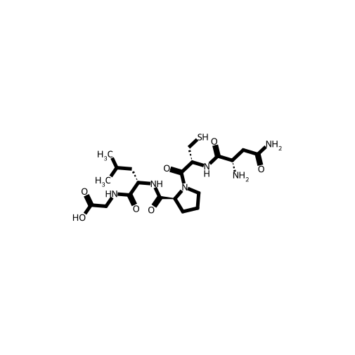 CC(C)C[C@H](NC(=O)[C@@H]1CCCN1C(=O)[C@H](CS)NC(=O)[C@@H](N)CC(N)=O)C(=O)NCC(=O)O